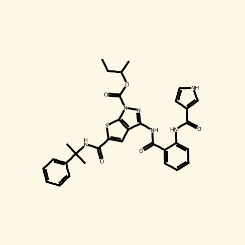 CCC(C)OC(=O)n1nc(NC(=O)c2ccccc2NC(=O)c2cc[nH]c2)c2cc(C(=O)NC(C)(C)c3ccccc3)sc21